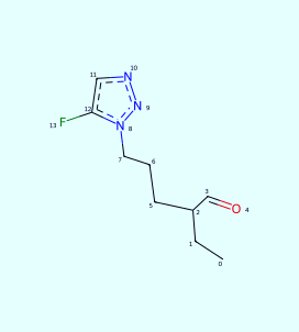 CCC(C=O)CCCn1nncc1F